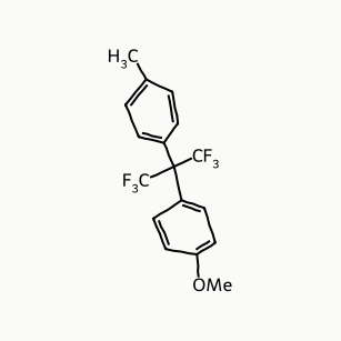 COc1ccc(C(c2ccc(C)cc2)(C(F)(F)F)C(F)(F)F)cc1